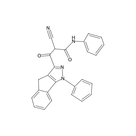 N#CC(C(=O)Nc1ccccc1)C(=O)c1nn(-c2ccccc2)c2c1Cc1ccccc1-2